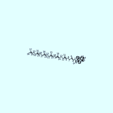 C/C=C(\C/C=C(\C)CC/C=C(\C)CC/C=C(\C)CC/C=C(\C)CC/C=C(\C)CC/C=C(\C)CCC=C(C)C)S(=O)(=O)c1ccccc1